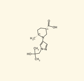 C[C@@H]1CC[C@H](C(=O)O)CN1c1cnn(CC(C)(C)O)c1